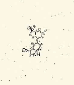 CCc1c[nH]c2ncc(-c3cc(C)cc(P(C)(C)=O)c3)cc12